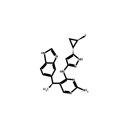 C[C@@H](c1ccc2[nH]cnc2c1)c1cnc(N)nc1Nc1cc([C@@H]2C[C@H]2F)[nH]n1